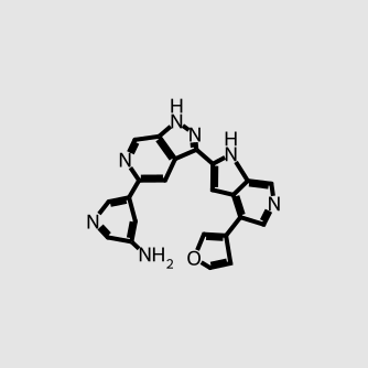 Nc1cncc(-c2cc3c(-c4cc5c(-c6ccoc6)cncc5[nH]4)n[nH]c3cn2)c1